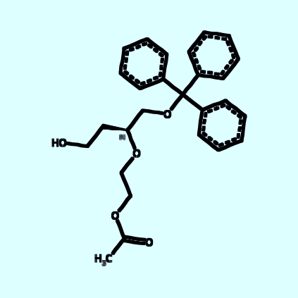 CC(=O)OCCO[C@@H](CCO)COC(c1ccccc1)(c1ccccc1)c1ccccc1